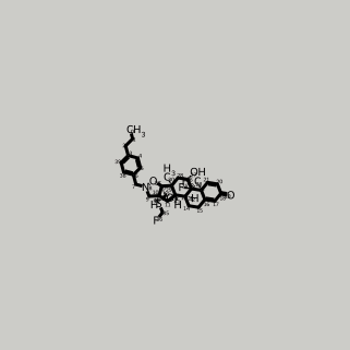 CCCc1ccc(CN2C[C@@H]3C[C@H]4[C@@H]5CCC6=CC(=O)C=C[C@]6(C)[C@@]5(F)[C@@H](O)C[C@]4(C)[C@]3(C(=O)SCF)O2)cc1